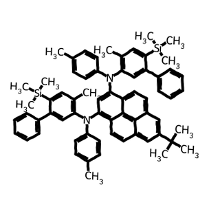 Cc1ccc(N(c2cc(-c3ccccc3)c([Si](C)(C)C)cc2C)c2cc(N(c3ccc(C)cc3)c3cc(-c4ccccc4)c([Si](C)(C)C)cc3C)c3ccc4cc(C(C)(C)C)cc5ccc2c3c54)cc1